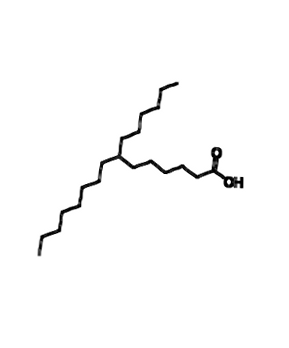 CCCCCCCCC(CCCCCC)CCCCCC(=O)O